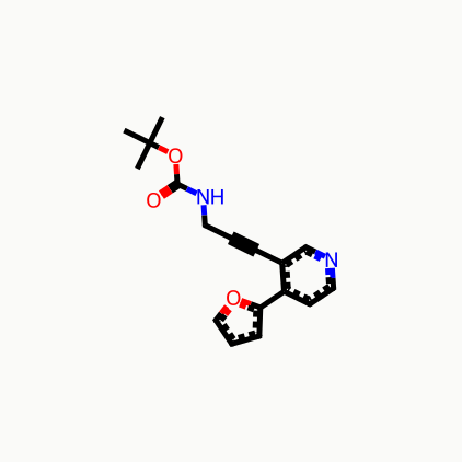 CC(C)(C)OC(=O)NCC#Cc1cnccc1-c1ccco1